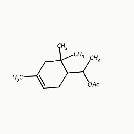 CC(=O)OC(C)C1CC=C(C)CC1(C)C